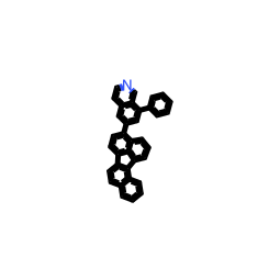 c1ccc(-c2cc(-c3ccc4c5c(cccc35)-c3c-4ccc4ccccc34)cc3ccncc23)cc1